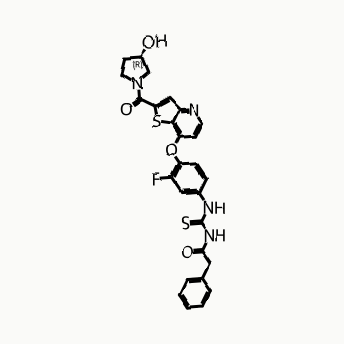 O=C(Cc1ccccc1)NC(=S)Nc1ccc(Oc2ccnc3cc(C(=O)N4CC[C@@H](O)C4)sc23)c(F)c1